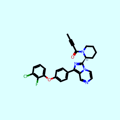 CC#CC(=O)N1CCCC[C@H]1c1nc(-c2ccc(Oc3cccc(Cl)c3F)cc2)c2cnccn12